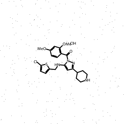 COc1ccc(C(=O)n2nc(C3CCNCC3)cc2NCc2ccc(Cl)s2)c(OC)c1.Cl